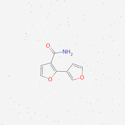 NC(=O)c1ccoc1-c1ccoc1